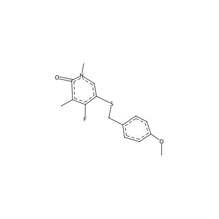 COc1ccc(CSc2cn(C)c(=O)c(C)c2F)cc1